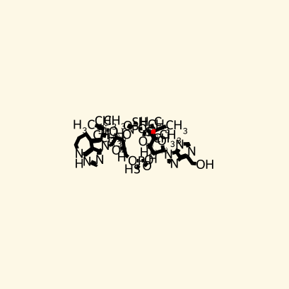 CC(C)(C)[Si](C)(C)CO[C@H]1[C@H]2OP(=O)(S)OC[C@H]3O[C@@H](n4cc5c6c(ncnc64)NCCC5)[C@H](O[Si](C)(C)C(C)(C)C)[C@@H]3OP(=O)(S)OC[C@H]1O[C@H]2n1cnc2c(CO)ncnc21